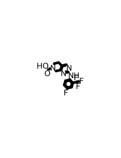 O=C(O)N1CCc2cnc(Nc3ccc(F)cc3C(F)(F)F)nc2C1